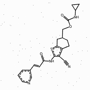 N#Cc1c(NC(=O)C=Cc2cccnc2)sc2c1CCC(COC(=O)NC1CC1)C2